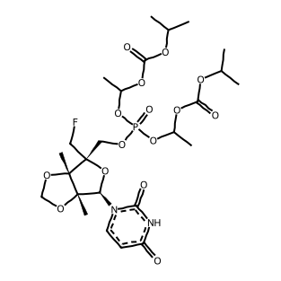 CC(C)OC(=O)OC(C)OP(=O)(OC[C@@]1(CF)O[C@@H](n2ccc(=O)[nH]c2=O)[C@]2(C)OCO[C@]12C)OC(C)OC(=O)OC(C)C